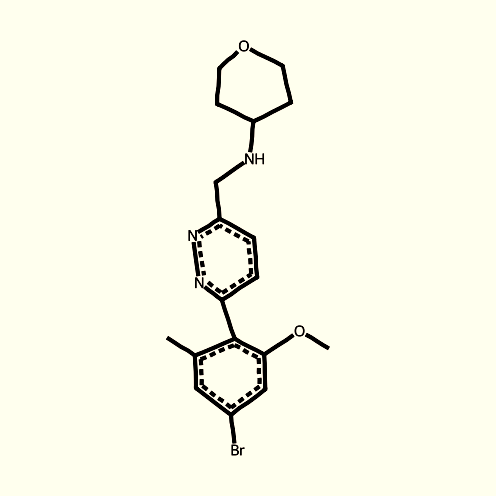 COc1cc(Br)cc(C)c1-c1ccc(CNC2CCOCC2)nn1